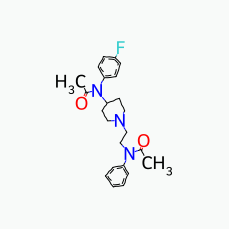 CC(=O)N(CCN1CCC(N(C(C)=O)c2ccc(F)cc2)CC1)c1ccccc1